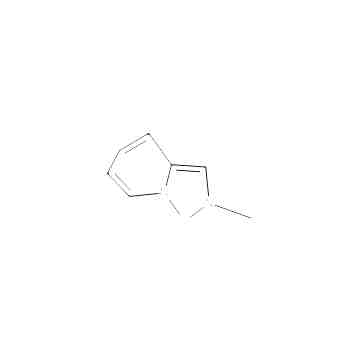 CN1C=C2C=CC=CN2S1